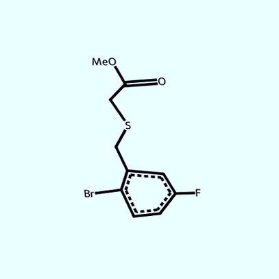 COC(=O)CSCc1cc(F)ccc1Br